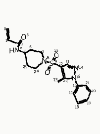 C=CC(=O)NC1CCN(S(=O)(=O)c2cnn(-c3ccccc3)c2C)CC1